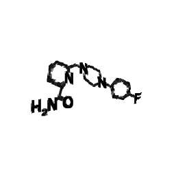 NC(=O)c1cccc(CN2CCN(c3ccc(F)cc3)CC2)n1